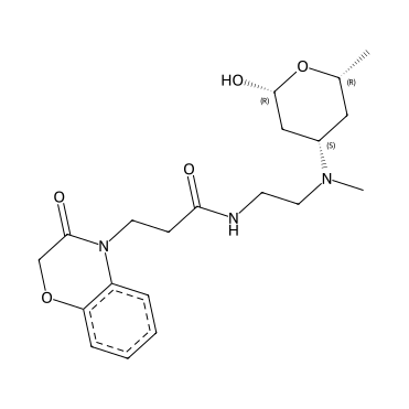 C[C@@H]1C[C@H](N(C)CCNC(=O)CCN2C(=O)COc3ccccc32)C[C@H](O)O1